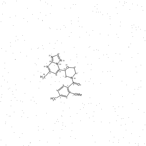 COc1cc(C)ccc1C(=O)N1CCOC(c2cc(C)nc3ncnn23)C1